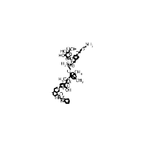 Cc1c(-c2ccc(N3CCc4cccc(C(=O)Nc5nc6ccccc6s5)c4C3)nc2C(=O)O)cnn1CC12CC3(C)C[C@@](C)(C1)C[C@@](OCCN(C)C(=O)OCc1ccc(OCCOCCN)cc1O[C@H]1OC(C(=O)O)=C(O)C(O)=C1O)(C3)C2